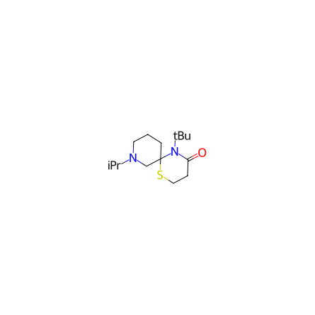 CC(C)N1CCCC2(C1)SCCC(=O)N2C(C)(C)C